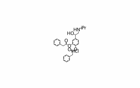 CC(C)NCC(O)c1ccc(OC(=O)Cc2ccccc2)c(OC(=O)Cc2ccccc2)c1.Cl